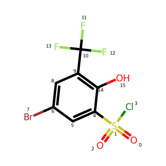 O=S(=O)(Cl)c1cc(Br)cc(C(F)(F)F)c1O